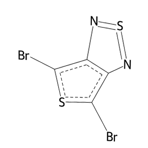 Brc1sc(Br)c2c1N=S=N2